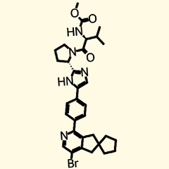 COC(=O)N[C@H](C(=O)N1CCC[C@H]1c1ncc(-c2ccc(-c3ncc(Br)c4c3CC3(CCCC3)C4)cc2)[nH]1)C(C)C